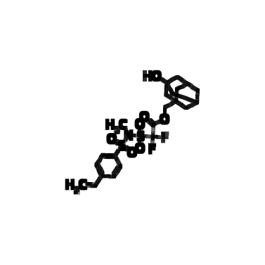 C=Cc1ccc(S(=O)(=O)N(C)S(=O)(=O)C(F)(F)C(=O)OCC23CC4CC(CC(O)(C4)C2)C3)cc1